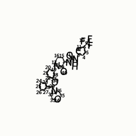 O=C(Nc1ccc(C(F)(F)F)cc1)NC1CCCN(c2ccc(-c3ccccc3C(=O)N3CCOCC3)cc2)C1=O